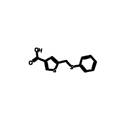 O=C(O)c1csc(CSc2ccccc2)c1